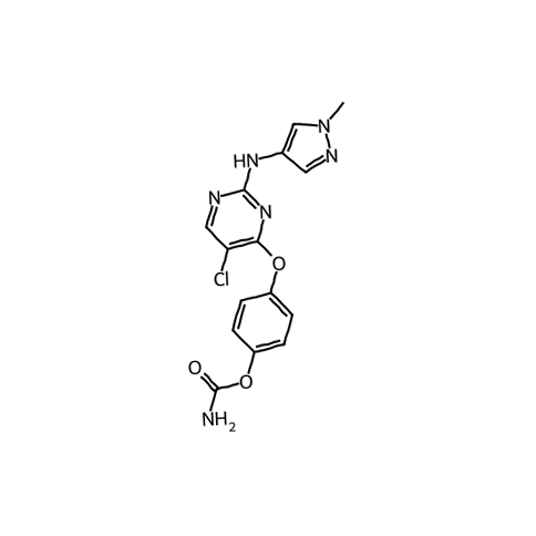 Cn1cc(Nc2ncc(Cl)c(Oc3ccc(OC(N)=O)cc3)n2)cn1